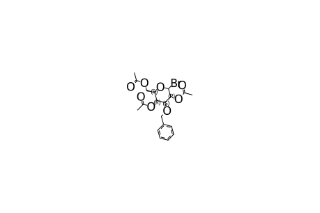 CC(=O)OC[C@H]1OC(Br)[C@H](OC(C)=O)[C@@H](OCc2ccccc2)[C@@H]1OC(C)=O